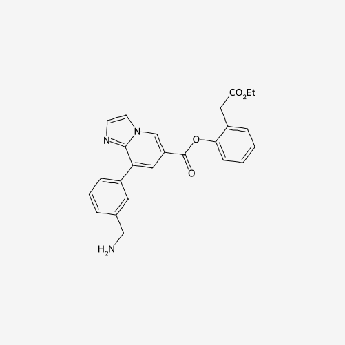 CCOC(=O)Cc1ccccc1OC(=O)c1cc(-c2cccc(CN)c2)c2nccn2c1